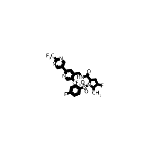 CC1C(F)CC(C(=O)NCc2cc(-c3cnc(C(F)(F)F)nc3)ncc2C(F)(F)F)N1S(=O)(=O)c1ccc(F)cc1